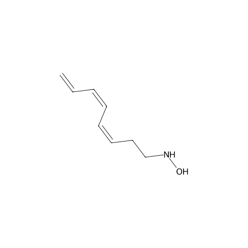 C=C/C=C\C=C/CCNO